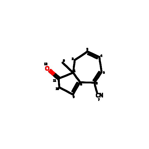 CC12CC=CC=C(C#N)C1=CCC2=O